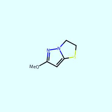 COc1cc2n(n1)CCS2